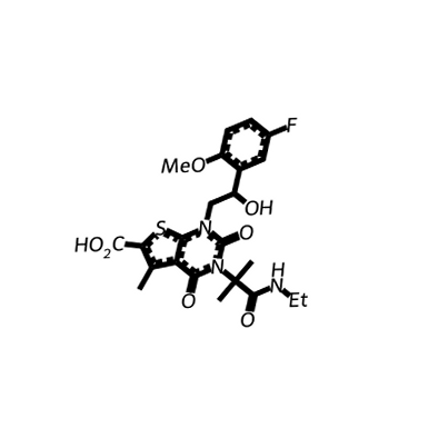 CCNC(=O)C(C)(C)n1c(=O)c2c(C)c(C(=O)O)sc2n(CC(O)c2cc(F)ccc2OC)c1=O